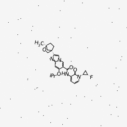 CC(C)Oc1cc2nc([C@@]34CC[C@@](C)(C3)OC4)cn2cc1C(=O)Nc1cccn([C@@H]2C[C@@H]2F)c1=O